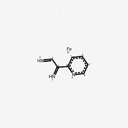 N=CC(=N)c1ccccn1.[Fe]